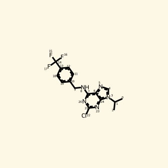 CC(C)n1cnc2c(NCc3ccc(C(F)(F)F)cc3)nc(Cl)nc21